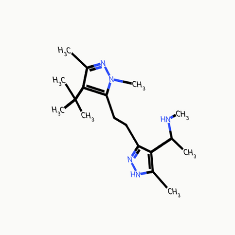 CNC(C)c1c(CCc2c(C(C)(C)C)c(C)nn2C)n[nH]c1C